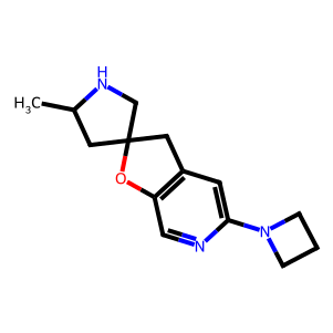 CC1CC2(CN1)Cc1cc(N3CCC3)ncc1O2